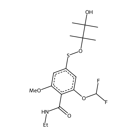 CCNC(=O)c1c(OC)cc(SOC(C)(C)C(C)(C)O)cc1OC(F)F